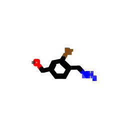 NCc1ccc(C[O])cc1Br